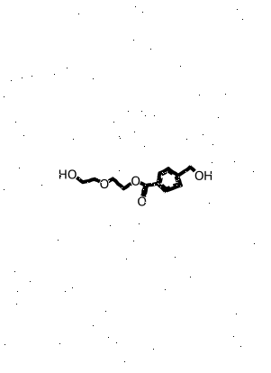 O=C(OCCOCCO)c1ccc(CO)cc1